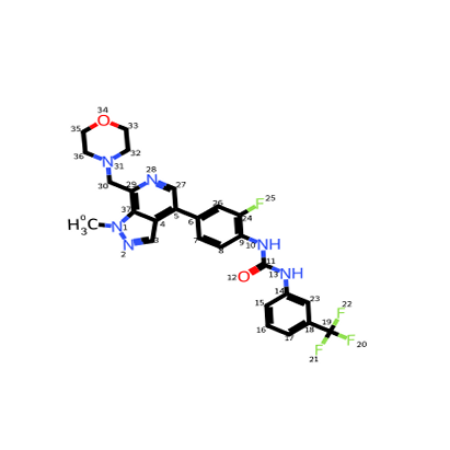 Cn1ncc2c(-c3ccc(NC(=O)Nc4cccc(C(F)(F)F)c4)c(F)c3)cnc(CN3CCOCC3)c21